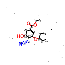 CCOC(=O)C1=C[C@@H](OC(CC)CC)[C@H](N=[N+]=[N-])[C@@H](O)C1